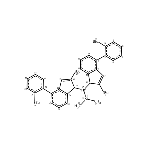 CCC(C)C1=Cc2c(-c3ccccc3C(C)(C)C)cccc2[CH]1[Hf]([CH]1C(C(C)CC)=Cc2c(-c3ccccc3C(C)(C)C)cccc21)[SiH](C)C